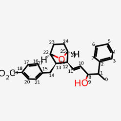 CC(c1ccccc1)C(O)C=C[C@H]1[C@@H](Cc2ccc(C(=O)O)cc2)[C@H]2CC[C@@H]1O2